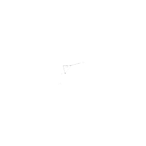 CC1=C[C@H]1O